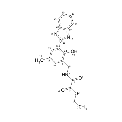 CCOC(=O)C(=O)NCc1cc(C)cc(-n2nc3ccccc3n2)c1O